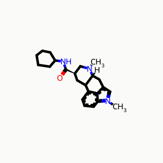 CN1C[C@H](C(=O)NC2CCCCC2)CC2c3cccc4c3c(cn4C)C[C@H]21